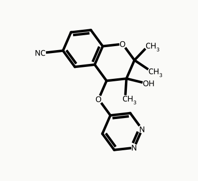 CC1(C)Oc2ccc(C#N)cc2C(Oc2ccnnc2)C1(C)O